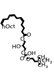 CCCCCCCC/C=C\C/C=C\C/C=C\CCCC(=O)OC[C@@H](O)COP(=O)(O)OCC[N+](C)(C)C